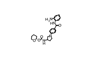 Nc1ccccc1NC(=O)c1ccc(N2CCC(NC(=O)O[C@H]3CCCCO3)C2)cc1